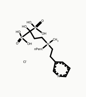 CCCCC[N+](C)(CCc1cccnc1)CCC(O)(P(=O)(O)O)P(=O)(O)O.[Cl-]